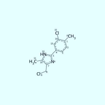 Cc1ccc(-c2nc(CCl)c(C)[nH]2)cc1Cl